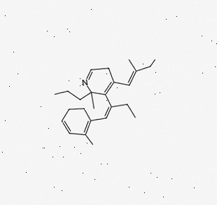 CCCC1(C)N=CCC(/C=C(\C)CC)=C1C(=C\C1=C(C)C=CCC1)/CC